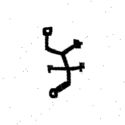 O=CC(F)(F)C(Br)CCl